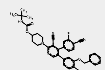 CC(C)(C)NC(=O)OC1CCN(c2ncc(-c3ccc(N)c(OCc4ccccc4)c3)c(-c3ccc(C#N)c(F)c3)c2C#N)CC1